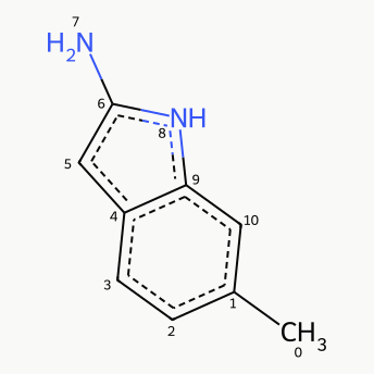 Cc1ccc2cc(N)[nH]c2c1